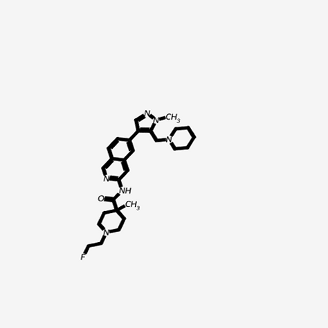 Cn1ncc(-c2ccc3cnc(NC(=O)C4(C)CCN(CCF)CC4)cc3c2)c1CN1CCCCC1